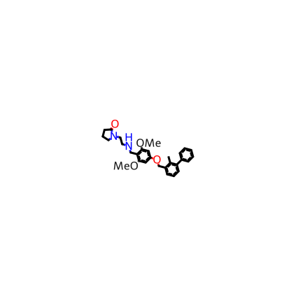 COc1cc(OCc2cccc(-c3ccccc3)c2C)cc(OC)c1CNCCN1CCCC1=O